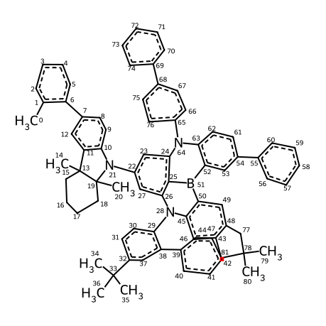 Cc1ccccc1-c1ccc2c(c1)C1(C)CCCCC1(C)N2c1cc2c3c(c1)N(c1ccc(C(C)(C)C)cc1-c1ccccc1)c1cc4c(cc1B3c1cc(-c3ccccc3)ccc1N2c1ccc(-c2ccccc2)cc1)CC(C)(C)C4